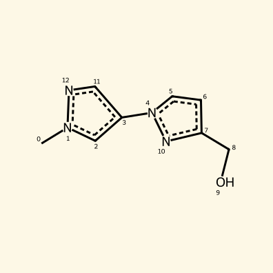 Cn1cc(-n2ccc(CO)n2)cn1